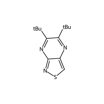 CC(C)(C)c1nc2csnc2nc1C(C)(C)C